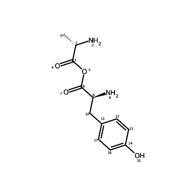 C[C@H](N)C(=O)OC(=O)[C@@H](N)Cc1ccc(O)cc1